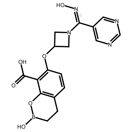 O=C(O)c1c(OC2CN(/C(=N\O)c3cncnc3)C2)ccc2c1OB(O)CC2